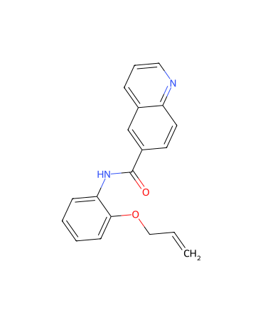 C=CCOc1ccccc1NC(=O)c1ccc2ncccc2c1